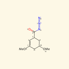 COC1=CC(C(=O)N=[N+]=[N-])CC(OC)C1